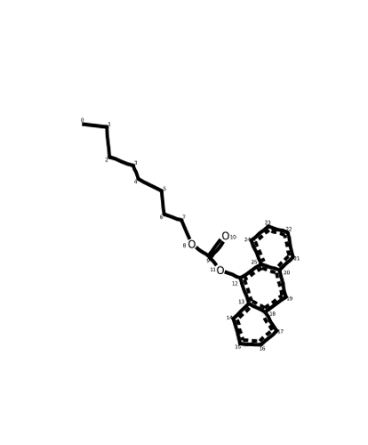 CCCCCCCCOC(=O)Oc1c2ccccc2cc2ccccc12